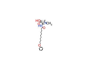 CN(C)C[C@@H](CC(=O)O)NC(=O)CCCCCCCCCCOc1ccccc1